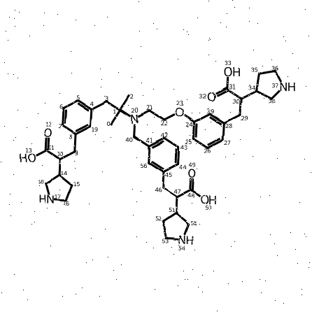 CC(C)(Cc1cccc(CC(C(=O)O)C2CCNC2)c1)N(CCOc1cccc(CC(C(=O)O)C2CCNC2)c1)Cc1cccc(CC(C(=O)O)C2CCNC2)c1